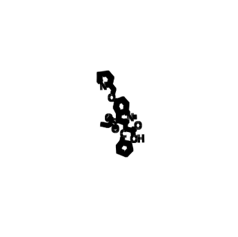 CCS(=O)(=O)c1c(C(Cc2ccccc2)C(=O)O)n(C)c2ccc(OCc3ccccn3)cc12